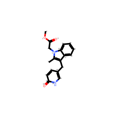 COC(=O)Cn1c(C)c(Cc2ccc(=O)[nH]c2)c2ccccc21